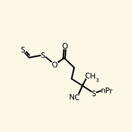 CCCSC(C)(C#N)CCC(=O)OSC=S